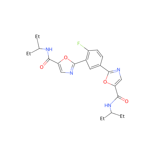 CCC(CC)NC(=O)c1cnc(-c2ccc(F)c(-c3ncc(C(=O)NC(CC)CC)o3)c2)o1